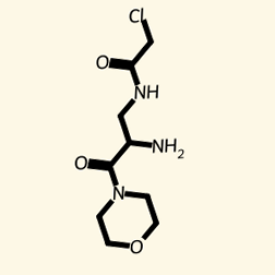 NC(CNC(=O)CCl)C(=O)N1CCOCC1